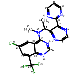 CC(c1nccnc1-c1ncccn1)N(C)c1ncnc2c(C(F)(F)F)cc(Cl)cc12